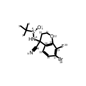 CC(C)(C)[S+]([O-])NC1(C#N)CCOc2c1ccc(Br)c2F